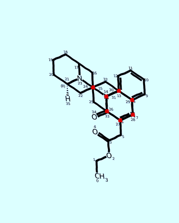 CCOC(=O)Cc1nc2ccccc2n(C2CC3CCC[C@H](C2)N3C2CC3CCCC(C3)C2)c1=O